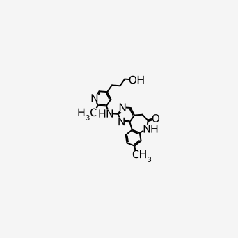 Cc1ccc2c(c1)NC(=O)Cc1cnc(Nc3cc(CCCO)cnc3C)nc1-2